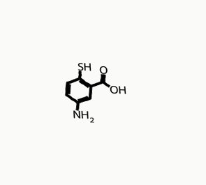 Nc1ccc(S)c(C(=O)O)c1